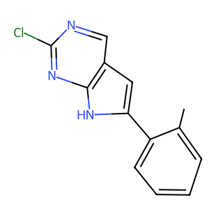 Cc1ccccc1-c1cc2cnc(Cl)nc2[nH]1